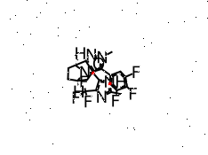 Cc1nc(C(F)(F)F)c(C(=O)N2[C@@H]3CC[C@H]2c2nn(C)c(-c4cc(F)c(F)c(F)c4)c2C3)[nH]1